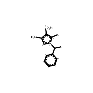 CCOC(=O)c1c(N)nn(C(C)c2ccccc2)c1C